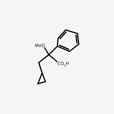 COC(CC1CC1)(C(=O)O)c1ccccc1